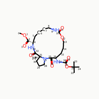 COC(=O)[C@@H]1CCCCNC(=O)OCCC[C@H](NC(=O)OC(C)(C)C)C(=O)N2CCC[C@H]2C(=O)N1